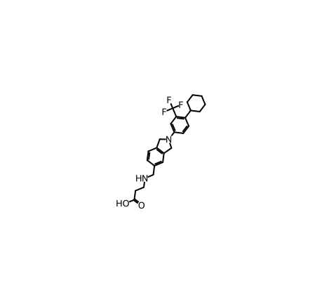 O=C(O)CCNCc1ccc2c(c1)CN(c1ccc(C3CCCCC3)c(C(F)(F)F)c1)C2